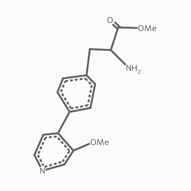 COC(=O)C(N)Cc1ccc(-c2ccncc2OC)cc1